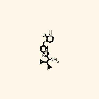 NC(c1cn2nc(C[C@H]3CCCNC3=O)ccc2n1)C(C1CC1)C1CC1